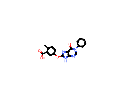 Cc1ccc(Oc2nc3c(=O)n(-c4ccccc4)cnc3[nH]2)cc1C(=O)O